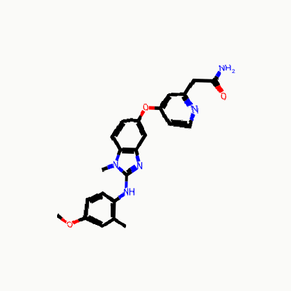 COc1ccc(Nc2nc3cc(Oc4ccnc(CC(N)=O)c4)ccc3n2C)c(C)c1